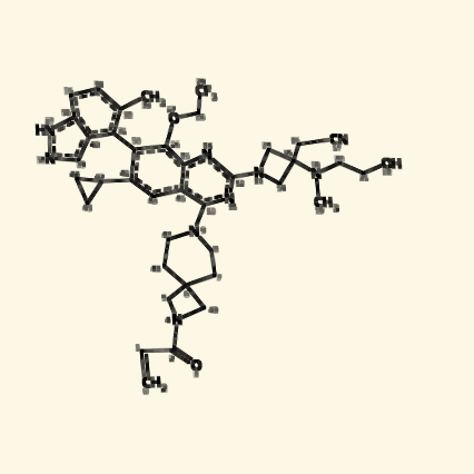 C=CC(=O)N1CC2(CCN(c3nc(N4CC(CC#N)(N(C)CCO)C4)nc4c(OCC(F)(F)F)c(-c5c(C)ccc6[nH]ncc56)c(C5CC5)cc34)CC2)C1